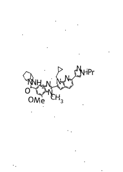 COc1cc(C(=O)N2CC3CCC2C3N)cc2nc(-c3cc4ccc(-c5cnn(C(C)C)c5)nc4n3CC3CC3)n(C)c12